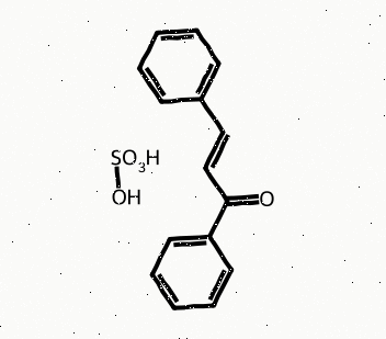 O=C(C=Cc1ccccc1)c1ccccc1.O=S(=O)(O)O